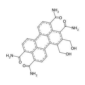 NC(=O)c1ccc2c3ccc(C(N)=O)c4c(C(N)=O)c(CO)c(CO)c(c5ccc(C(N)=O)c1c25)c43